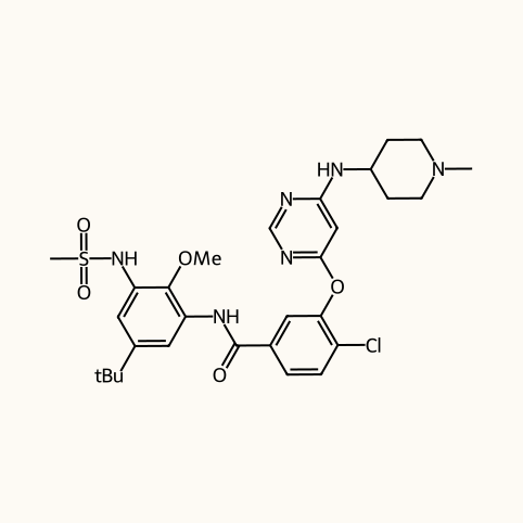 COc1c(NC(=O)c2ccc(Cl)c(Oc3cc(NC4CCN(C)CC4)ncn3)c2)cc(C(C)(C)C)cc1NS(C)(=O)=O